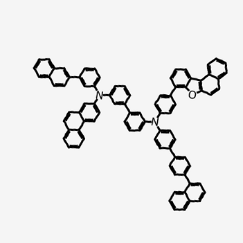 c1cc(-c2cccc(N(c3cccc(-c4ccc5ccccc5c4)c3)c3ccc4c(ccc5ccccc54)c3)c2)cc(N(c2ccc(-c3ccc(-c4cccc5ccccc45)cc3)cc2)c2ccc(-c3cccc4c3oc3ccc5ccccc5c34)cc2)c1